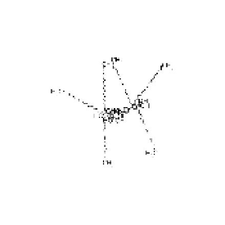 CCCCCCCCCCCCCCCCCCC(O)(CCCCCCCCCCCCCCCCCC)[C@@](O)(CCCCCCCCCCCCCCCCCC)[C@@H](O)[C@H](O)[C@H](O)CO.CCCCCCCCCCCCCCCCCCc1cc(-c2ccc(P(O)O)cc2)c(CCCCCCCCCCCCCCCCCC)c(CCCCCCCCCCCCCCCCCC)c1P(O)O